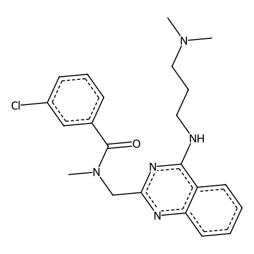 CN(C)CCCNc1nc(CN(C)C(=O)c2cccc(Cl)c2)nc2ccccc12